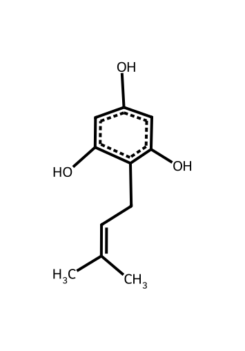 CC(C)=CCc1c(O)cc(O)cc1O